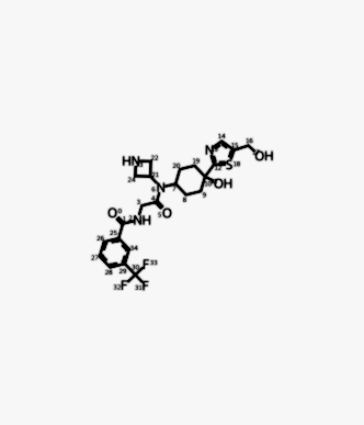 O=C(NCC(=O)N(C1CCC(O)(c2ncc(CO)s2)CC1)C1CNC1)c1cccc(C(F)(F)F)c1